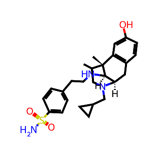 CC1CN(CC2CC2)[C@@H]2Cc3ccc(O)cc3[C@]1(C)[C@@H]2NCCc1ccc(S(N)(=O)=O)cc1